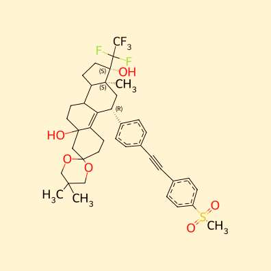 CC1(C)COC2(CCC3=C4C(CCC3(O)C2)C2CC[C@@](O)(C(F)(F)C(F)(F)F)[C@@]2(C)C[C@@H]4c2ccc(C#Cc3ccc(S(C)(=O)=O)cc3)cc2)OC1